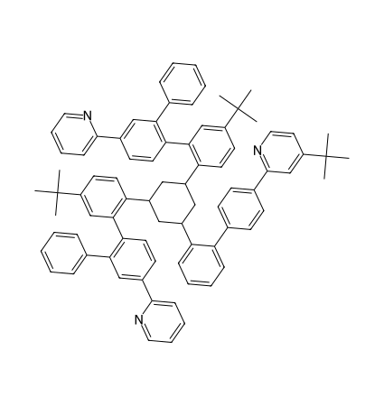 CC(C)(C)c1ccnc(-c2ccc(-c3ccccc3C3CC(c4ccc(C(C)(C)C)cc4-c4ccc(-c5ccccn5)cc4-c4ccccc4)CC(c4ccc(C(C)(C)C)cc4-c4ccc(-c5ccccn5)cc4-c4ccccc4)C3)cc2)c1